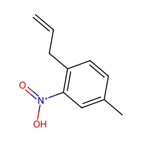 C=CCc1ccc(C)cc1[N+](=O)O